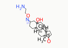 C[C@]12CC[C@H]3[C@@H](CC[C@@]4(O)C/C(=N\OCCN)CC[C@]34C)[C@@H]1CCC2=O